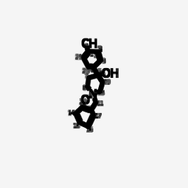 Cc1ccc(C2(O)CC[N+]([O-])(Cc3ccccc3)CC2)cc1